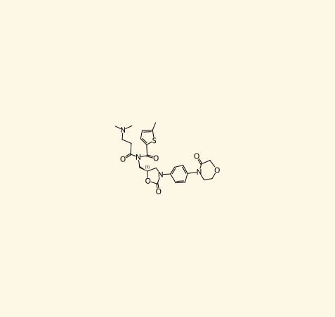 Cc1ccc(C(=O)N(C[C@H]2CN(c3ccc(N4CCOCC4=O)cc3)C(=O)O2)C(=O)CCN(C)C)s1